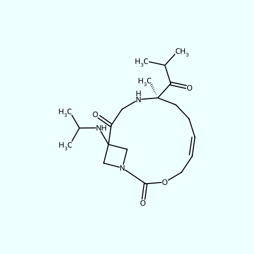 CC(C)NC12CN(C1)C(=O)OCC=CCC[C@](C)(C(=O)C(C)C)NCC2=O